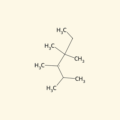 CCC(C)(C)[C](C)C(C)C